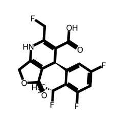 C[C@@H](F)c1c(F)cc(F)cc1[C@@H]1C(C(=O)O)=C(CF)NC2=C1C(=O)OC2